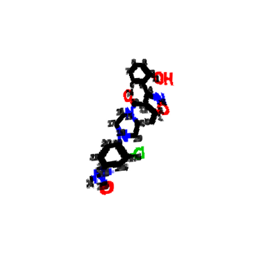 Cc1onc(-c2ccccc2O)c1C(=O)N1CCN(c2ccc([N+](C)=O)cc2Cl)CC1